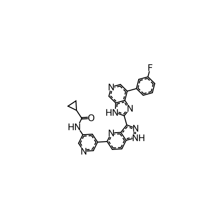 O=C(Nc1cncc(-c2ccc3[nH]nc(-c4nc5c(-c6cccc(F)c6)cncc5[nH]4)c3n2)c1)C1CC1